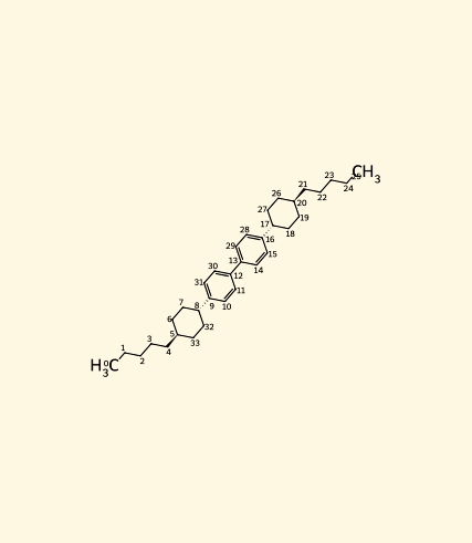 CCCCC[C@H]1CC[C@H](c2ccc(-c3ccc([C@H]4CC[C@H](CCCCC)CC4)cc3)cc2)CC1